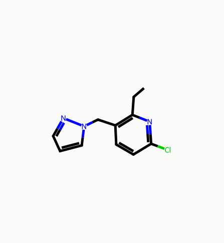 CCc1nc(Cl)ccc1Cn1cccn1